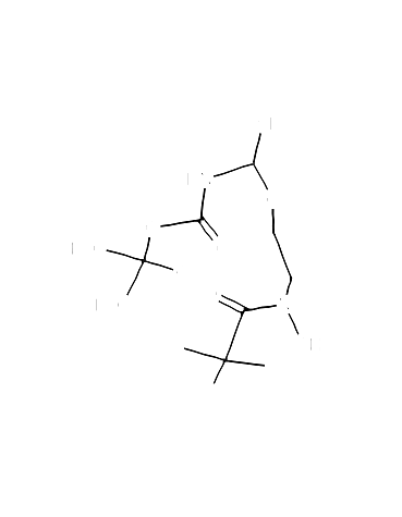 CC(NC(=O)OC(C)(C)C)OCCN(C)C(=O)C(F)(F)F